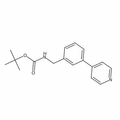 CC(C)(C)OC(=O)NCc1cccc(-c2ccncc2)c1